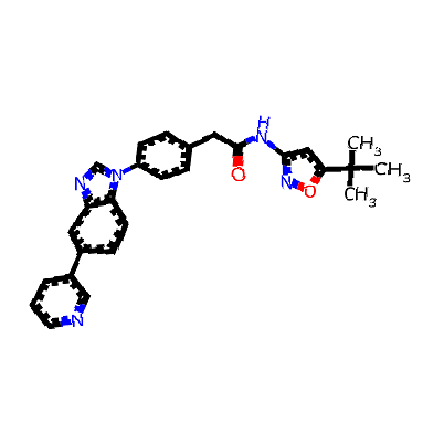 CC(C)(C)c1cc(NC(=O)Cc2ccc(-n3cnc4cc(-c5cccnc5)ccc43)cc2)no1